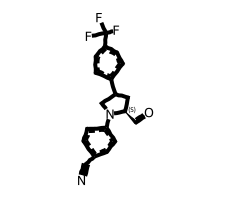 N#Cc1ccc(N2CC(c3ccc(C(F)(F)F)cc3)C[C@H]2C=O)cc1